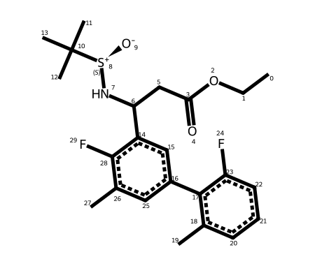 CCOC(=O)CC(N[S@+]([O-])C(C)(C)C)c1cc(-c2c(C)cccc2F)cc(C)c1F